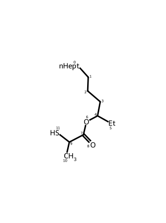 CCCCCCCCCCC(CC)OC(=O)C(C)S